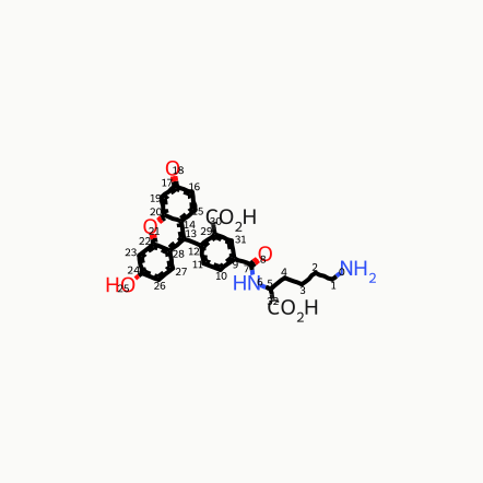 NCCCCC(NC(=O)c1ccc(-c2c3ccc(=O)cc-3oc3cc(O)ccc23)c(C(=O)O)c1)C(=O)O